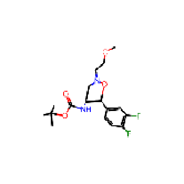 COCCN1C[C@@H](NC(=O)OC(C)(C)C)[C@H](c2ccc(F)c(F)c2)O1